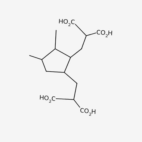 CC1CC(CC(C(=O)O)C(=O)O)C(CC(C(=O)O)C(=O)O)C1C